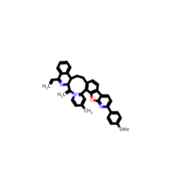 C=CC1=NC2C(=C)[n+]3ccc(C)cc3-c3c(ccc4c3oc3nc(-c5ccc(SC)cc5)ccc34)CCC2c2ccccc21